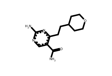 NC(=O)c1cnc(N)nc1CCC1CCOCC1